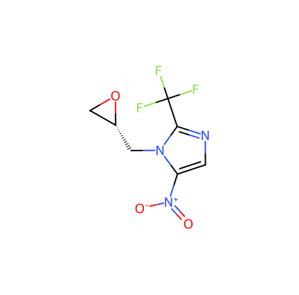 O=[N+]([O-])c1cnc(C(F)(F)F)n1C[C@@H]1CO1